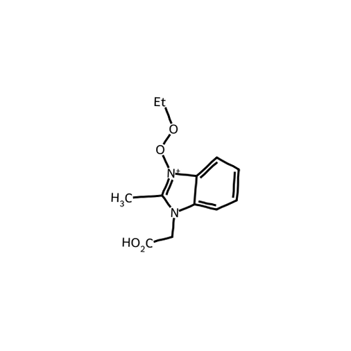 CCOO[n+]1c(C)n(CC(=O)O)c2ccccc21